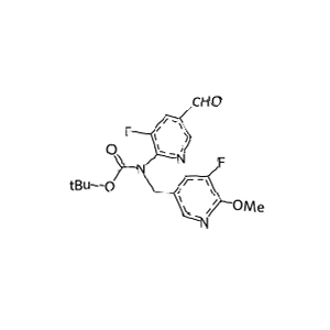 COc1ncc(CN(C(=O)OC(C)(C)C)c2ncc(C=O)cc2F)cc1F